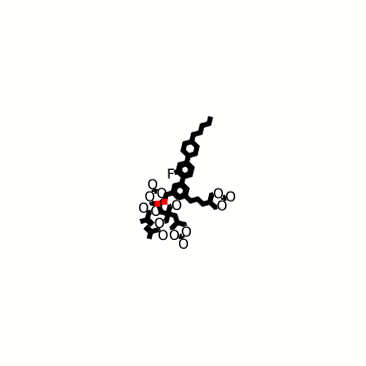 C=C(C)C(=O)OCCCc1cc(-c2ccc(C3CCC(CCCCC)CC3)cc2F)cc(CCCC2COC(=O)OC2)c1OCC(COC(=O)C(=C)C)(CC1COC(=O)OC1)CC1COC(=O)OC1